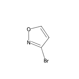 Brc1ccon1